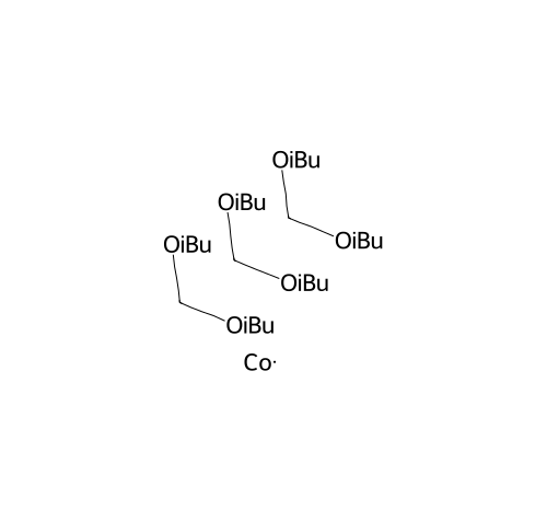 CC(C)COCOCC(C)C.CC(C)COCOCC(C)C.CC(C)COCOCC(C)C.[Co]